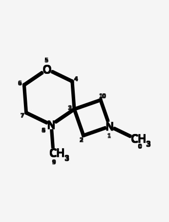 CN1CC2(COCCN2C)C1